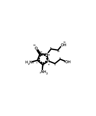 Nc1c(N)n(CCO)n(CCO)c1=O